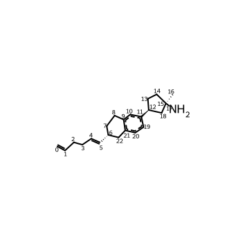 C=CCC/C=C/[C@@H]1CCc2cc([C@H]3CC[C@@](C)(N)C3)ccc2C1